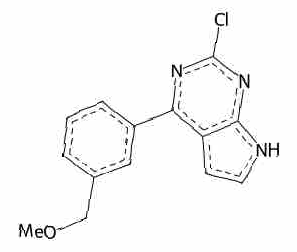 COCc1cccc(-c2nc(Cl)nc3[nH]ccc23)c1